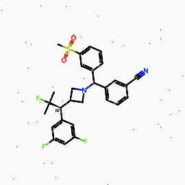 CC(C)(F)[C@H](c1cc(F)cc(F)c1)C1CN(C(c2cccc(C#N)c2)c2cccc(S(C)(=O)=O)c2)C1